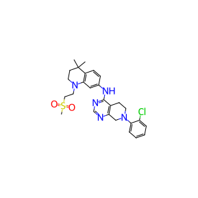 CC1(C)CCN(CCS(C)(=O)=O)c2cc(Nc3ncnc4c3CCN(c3ccccc3Cl)C4)ccc21